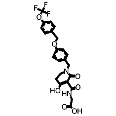 O=C(O)CNC(=O)C1=C(O)CCN(Cc2ccc(OCc3ccc(OC(F)(F)F)cc3)cc2)C1=O